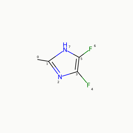 Cc1nc(F)c(F)[nH]1